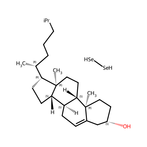 CC(C)CCC[C@@H](C)[C@H]1CC[C@H]2[C@@H]3CC=C4C[C@@H](O)CC[C@]4(C)[C@H]3CC[C@]12C.[SeH][SeH]